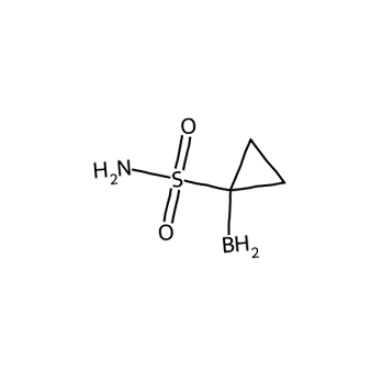 BC1(S(N)(=O)=O)CC1